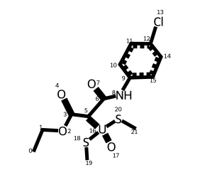 CCOC(=O)[C](C(=O)Nc1ccc(Cl)cc1)=[U](=[O])([S]C)[S]C